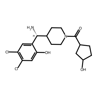 N[C@@H](c1cc(Cl)c(Cl)cc1O)C1CCN(C(=O)C2CCC(O)C2)CC1